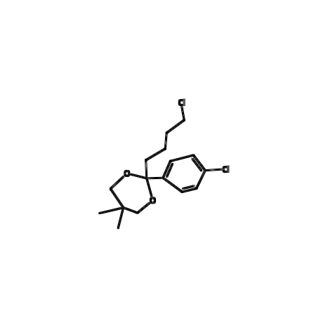 CC1(C)COC(CCCCCl)(c2ccc(Cl)cc2)OC1